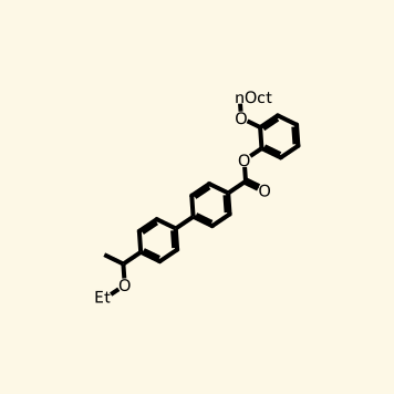 CCCCCCCCOc1ccccc1OC(=O)c1ccc(-c2ccc(C(C)OCC)cc2)cc1